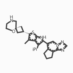 Cc1c2c(C(C)C)c(-c3cn4ncnc4c4c3CCC4)[nH]c2sc1[C@H]1C[C@]2(CNCCO2)C1